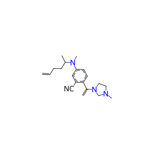 C=CCCC(C)N(C)c1ccc(C(=C)N2CCN(C)C2)c(C#N)c1